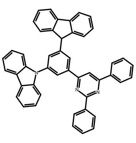 c1ccc(-c2cc(-c3cc(C4c5ccccc5-c5ccccc54)cc(-n4c5ccccc5c5ccccc54)c3)nc(-c3ccccc3)n2)cc1